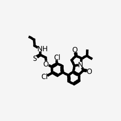 CCCNC(=S)COc1c(Cl)cc(-c2cccc3c2C2CC(=O)C(C(C)C)N2C3=O)cc1Cl